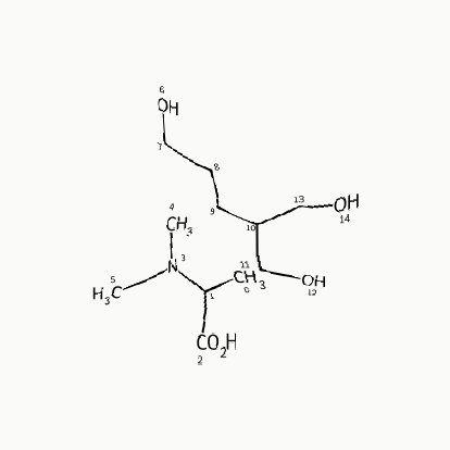 CC(C(=O)O)N(C)C.OCCCC(CO)CO